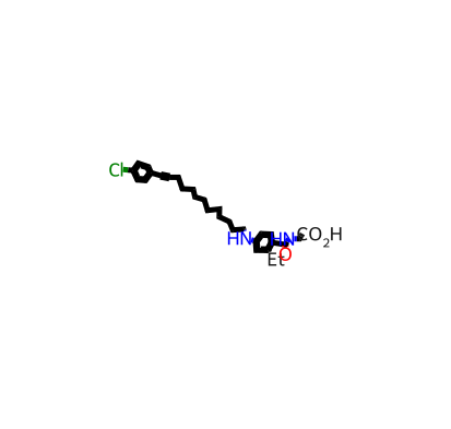 CCc1cc(NCCCCCCCCCCCC#Cc2ccc(Cl)cc2)ccc1C(=O)NCC(=O)O